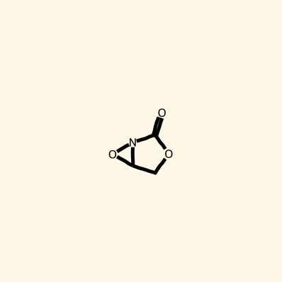 O=C1OCC2ON12